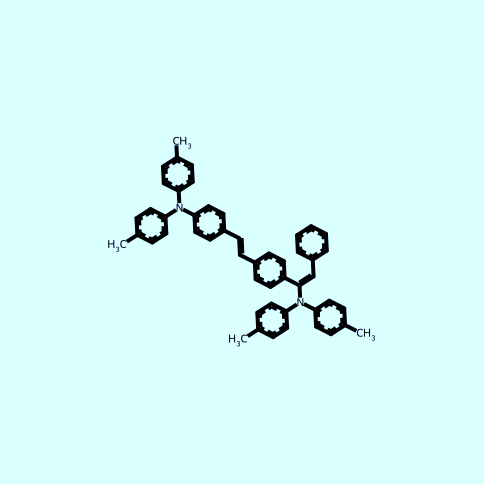 Cc1ccc(N(/C(=C/c2ccccc2)c2ccc(/C=C/c3ccc(N(c4ccc(C)cc4)c4ccc(C)cc4)cc3)cc2)c2ccc(C)cc2)cc1